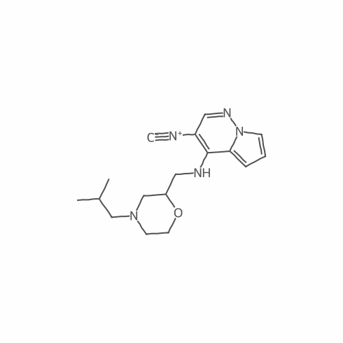 [C-]#[N+]c1cnn2cccc2c1NCC1CN(CC(C)C)CCO1